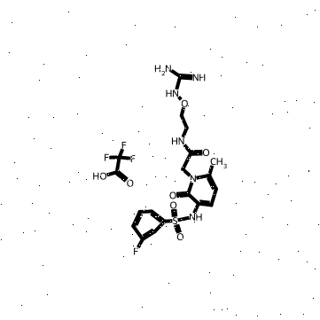 Cc1ccc(NS(=O)(=O)c2cccc(F)c2)c(=O)n1CC(=O)NCCONC(=N)N.O=C(O)C(F)(F)F